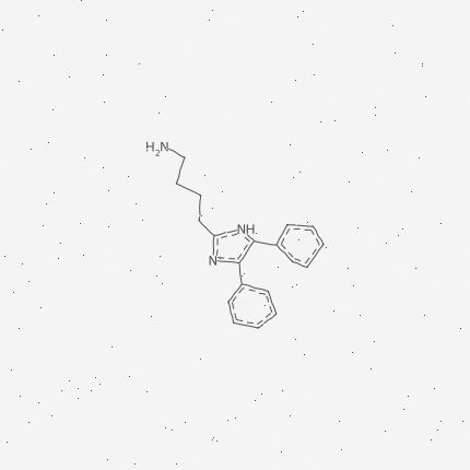 NCCCCc1nc(-c2ccccc2)c(-c2ccccc2)[nH]1